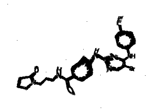 O=C(NCCCN1CCCC1=O)c1ccc(Nc2ncc(Br)c(Nc3ccc(F)cc3)n2)cc1